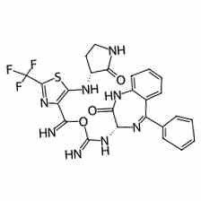 N=C(N[C@H]1N=C(c2ccccc2)c2ccccc2NC1=O)OC(=N)c1nc(C(F)(F)F)sc1N[C@@H]1CCNC1=O